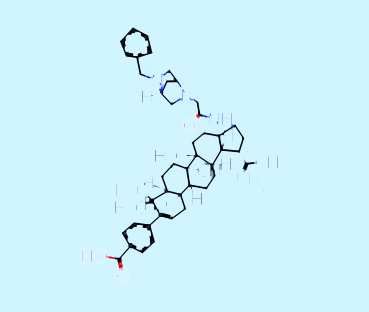 C=C(C)[C@@H]1CC[C@]2(NC(=O)CN3C[C@@H]4CC3CN4Cc3ccccc3)CC[C@]3(C)[C@H](CC[C@@H]4[C@@]5(C)CC=C(c6ccc(C(=O)O)cc6)C(C)(C)[C@@H]5CC[C@]43C)[C@@H]12